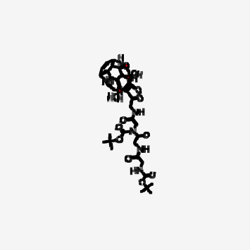 CC(C)(C)OC(=O)NCC(=O)NCC(=O)N(CC(=O)NCC(=O)C1NCCNc2ccc(c3c2C(=O)c2c(O)ccc(O)c2C3=O)NCCNC1=O)C(=O)OC(C)(C)C